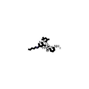 CCCC/C=C/c1cnc(N2CC(C)CC2(C)C)c(C(=O)NS(=O)(=O)c2cccc(N)n2)c1